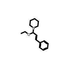 CCOC(C=Cc1ccccc1)N1CCCCC1